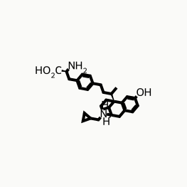 CC(CCc1ccc(C[C@H](N)C(=O)O)cc1)[C@@]12CCN(CC3CC3)[C@H](Cc3ccc(O)cc31)[C@@H]2C